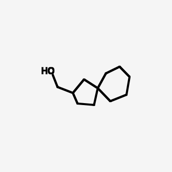 OCC1CCC2(CCCCC2)C1